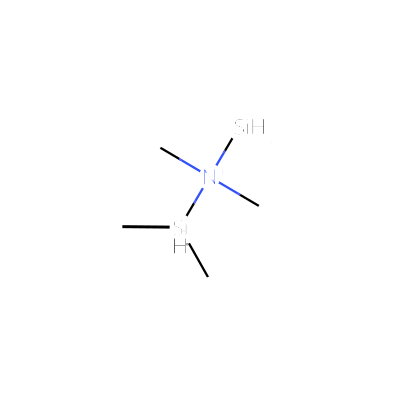 C[SiH](C)[N+](C)(C)[SiH3]